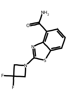 NC(=O)c1[c]ccc2sc(N3CC(F)(F)C3)nc12